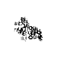 CCO[SiH2]C(CCN(CCC(OCC)(OCC)[SiH2]OCC)C(=O)Nc1ccc(C)c(-n2c(=O)n(-c3cc(C)ccc3C)c(=O)n(-c3cc(N=C=O)ccc3C)c2=O)c1)(OCC)OCC